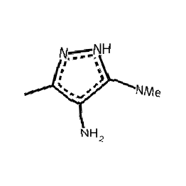 CNc1[nH]nc(C)c1N